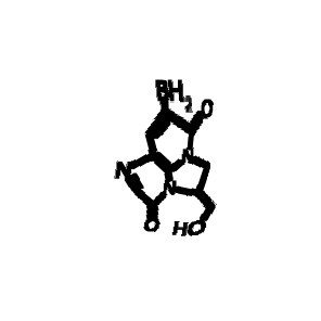 Bc1cc2ncc(=O)n3c2n(c1=O)CC3CO